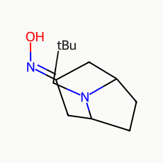 CC(C)(C)CN1C2CCC1CC(=NO)C2